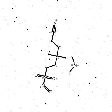 C=NS(=O)(=O)CCC(C)(C)CCC#N.CNC